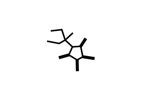 C=C1C(=C)C(=C)C(C(C)(CC)CC)C1=C